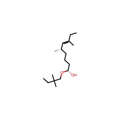 CC/C(C)=C/[C@@H](C)CCC[C@H](O)OCC(C)(C)CC